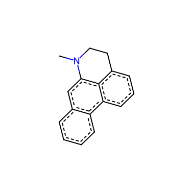 CN1CCc2cccc3c2c1cc1ccccc13